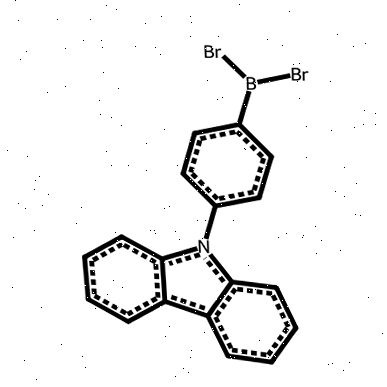 BrB(Br)c1ccc(-n2c3ccccc3c3ccccc32)cc1